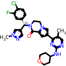 Cc1cnc(NC2CCOCC2)nc1-c1cc2n(c1)CCN([C@@H](c1ccc(Cl)c(F)c1)c1cnn(C)c1)C2=O